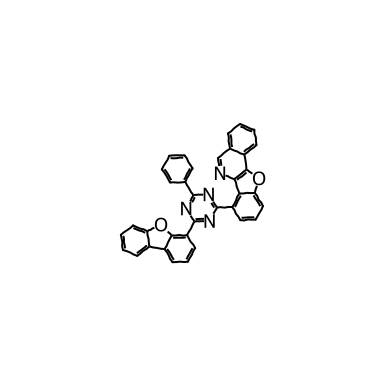 c1ccc(-c2nc(-c3cccc4c3oc3ccccc34)nc(-c3cccc4oc5c6ccccc6cnc5c34)n2)cc1